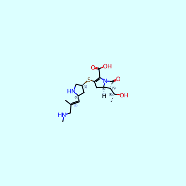 CNC/C(C)=C/[C@@H]1C[C@H](SC2=C(C(=O)O)N3C(=O)[C@H]([C@@H](C)O)[C@H]3C2)CN1